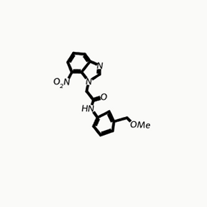 COCc1cccc(NC(=O)Cn2cnc3cccc([N+](=O)[O-])c32)c1